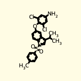 Cc1ccc(S(=O)(=O)n2cc(C(C)C)c3cc(Oc4c(Cl)cc(N)cc4Cl)ccc32)cc1